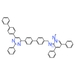 C=Nn1cc(-c2ccccc2)cc(-c2ccccc2)/c1=N/Cc1ccc(-c2ccc(-c3cc(-c4ccc(-c5ccccc5)cc4)nc(-c4ccccc4)n3)cc2)cc1